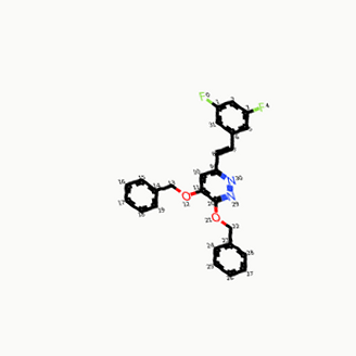 Fc1cc(F)cc(C=Cc2cc(OCc3ccccc3)c(OCc3ccccc3)nn2)c1